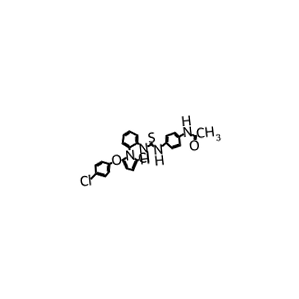 CC(=O)Nc1ccc(NC(=S)Nc2ccccc2-n2c(Cl)ccc2Oc2ccc(Cl)cc2)cc1